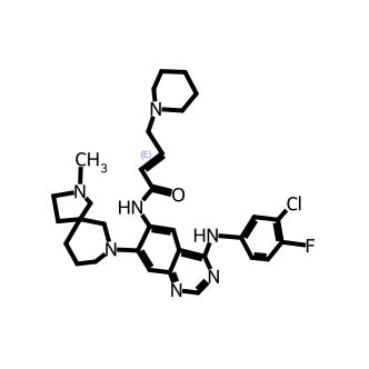 CN1CCC2(CCCN(c3cc4ncnc(Nc5ccc(F)c(Cl)c5)c4cc3NC(=O)/C=C/CN3CCCCC3)C2)C1